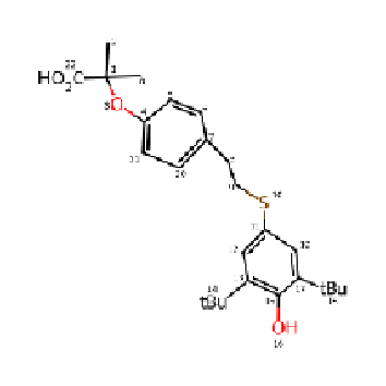 CC(C)(Oc1ccc(CCSc2cc(C(C)(C)C)c(O)c(C(C)(C)C)c2)cc1)C(=O)O